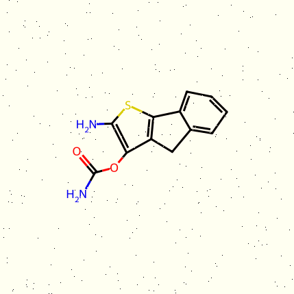 NC(=O)Oc1c(N)sc2c1Cc1ccccc1-2